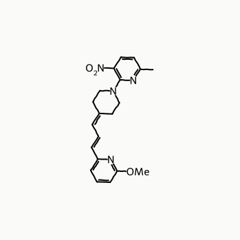 COc1cccc(/C=C/C=C2CCN(c3nc(C)ccc3[N+](=O)[O-])CC2)n1